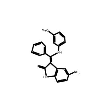 COc1cccc(NC(=C2C(=O)Nc3ccc(N)cc32)c2ccccc2)c1